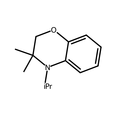 CC(C)N1c2ccccc2OCC1(C)C